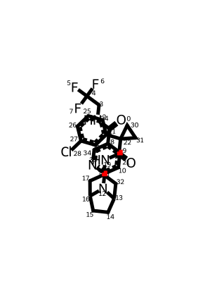 O=C(NCC(F)(F)F)c1ccc(N2C3CCC2CC(NC(=O)C2(c4cccc(Cl)c4)CC2)C3)nc1